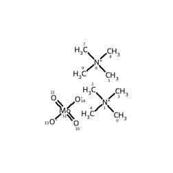 C[N+](C)(C)C.C[N+](C)(C)C.[O]=[Mo](=[O])([O-])[O-]